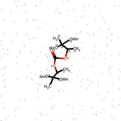 COC(C)(OC)C(C)OC(=O)OC(C)C(C)(OC)OC